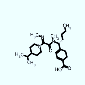 CCCC[C@H](C1=CC=C(C(=O)O)CC1)N(C)C(=O)C(=NC)N1CCC(C(C)C)CC1